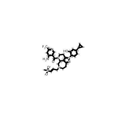 CS(=O)(=O)/C=C/CN1CCc2nn(-c3ccc(C4CC4)cc3O)c3c2C(C1)N(C(=O)c1cnc(C(F)(F)F)cc1N)CC3